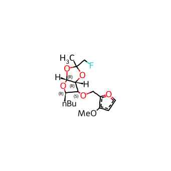 CCCC[C@H]1O[C@@H]2OC(C)(CF)O[C@@H]2[C@H]1OCc1occc1OC